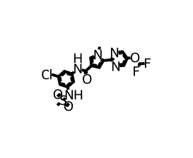 Cn1cc(C(=O)Nc2cc(Cl)cc(NS(C)(=O)=O)c2)cc1-c1ncc(OC(F)F)cn1